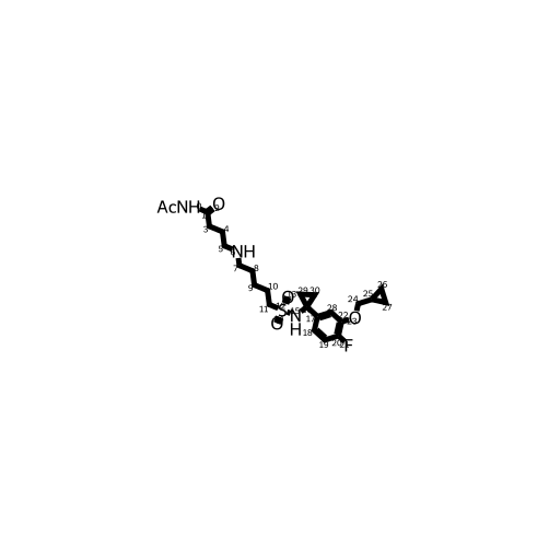 CC(=O)NC(=O)CCCNCCCCCS(=O)(=O)NC1(c2ccc(F)c(OCC3CC3)c2)CC1